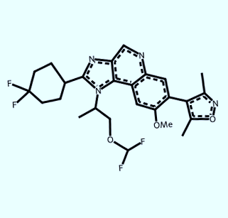 COc1cc2c(cc1-c1c(C)noc1C)ncc1nc(C3CCC(F)(F)CC3)n(C(C)COC(F)F)c12